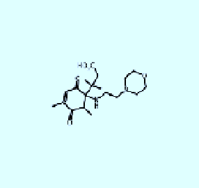 CC1=CC(=O)C(NCCN2CCOCC2)(C(C)(C)CC(=O)O)C(C)C1=O